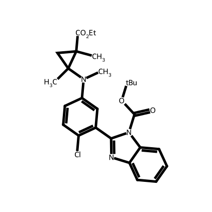 CCOC(=O)C1(C)CC1(C)N(C)c1ccc(Cl)c(-c2nc3ccccc3n2C(=O)OC(C)(C)C)c1